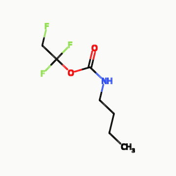 CCCCNC(=O)OC(F)(F)CF